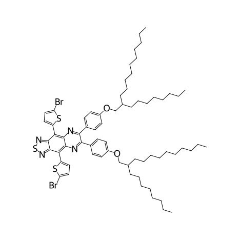 CCCCCCCCCCC(CCCCCCCC)COc1ccc(-c2nc3c(-c4ccc(Br)s4)c4nsnc4c(-c4ccc(Br)s4)c3nc2-c2ccc(OCC(CCCCCCCC)CCCCCCCCCC)cc2)cc1